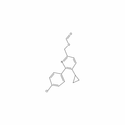 O=COCc1ccc(C2CC2)c(-c2ccc(Cl)cc2)n1